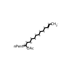 [CH2]C=CCCCCCCCCCC(CCCCC)OC(C)=O